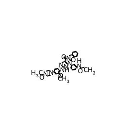 C=CC(=O)Nc1cccc(-n2c(=O)n(Cc3ccccc3)c(=O)c3cnc(Nc4ccc(N5CCN(C(C)=O)CC5)cc4OC)nc32)c1